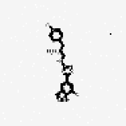 N[C@@H](CNc1nnc(-c2cc(Cl)c3[nH]ncc3c2)s1)Cc1ccc(Cl)cc1